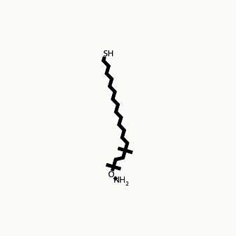 CC(C)(CCCCCCCCCCCCCCS)CCC(C)(C)ON